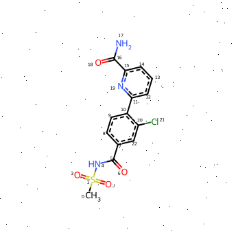 CS(=O)(=O)NC(=O)c1ccc(-c2cc[c]c(C(N)=O)n2)c(Cl)c1